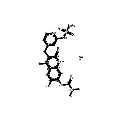 CNS(=O)(=O)Nc1cc(Cc2c(C)c3cc(F)c(OC(=O)N(C)C)cc3oc2=O)ccn1.[Na]